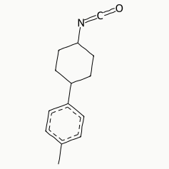 Cc1ccc(C2CCC(N=C=O)CC2)cc1